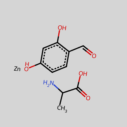 CC(N)C(=O)O.O=Cc1ccc(O)cc1O.[Zn]